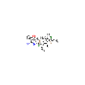 Cc1sc2c(c1F)C(C)(C)c1cc3c(cc1-2)C(C)(C)c1c-3sc(CCCC2(C)C(=O)c3ccccc3C2=C(C#N)C#N)c1F